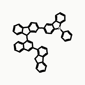 c1ccc(-n2c3ccccc3c3cc(-c4ccc5c(c4)C(c4cc(-c6cccc7c6Cc6ccccc6-7)cc6ccccc46)c4ccccc4-5)ccc32)cc1